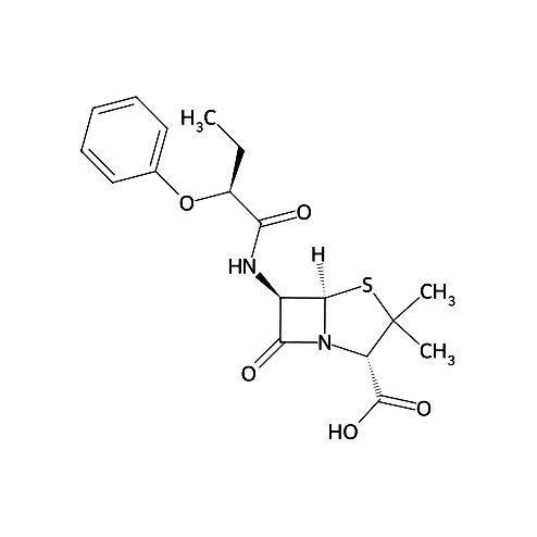 CC[C@H](Oc1ccccc1)C(=O)N[C@@H]1C(=O)N2[C@@H]1SC(C)(C)[C@@H]2C(=O)O